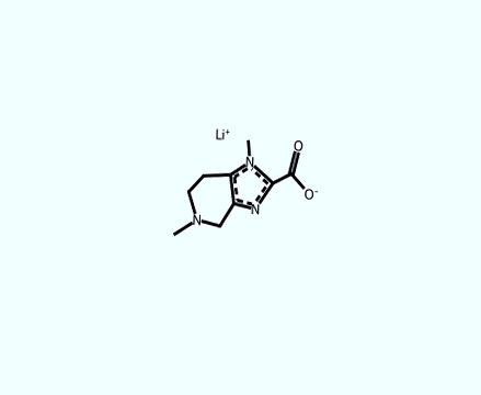 CN1CCc2c(nc(C(=O)[O-])n2C)C1.[Li+]